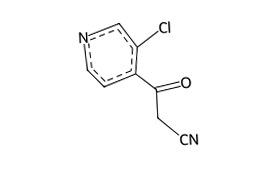 N#CCC(=O)c1ccncc1Cl